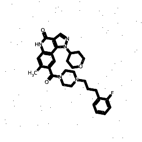 Cc1cc2[nH]c(=O)c3cnn(C4CCOCC4)c3c2cc1C(=O)N1CCN(CCCc2ccccc2F)CC1